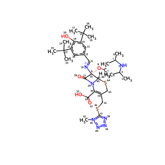 CC(C)NC(C)C.CO[C@@]1(/N=C/c2cc(C(C)(C)C)c(O)c(C(C)(C)C)c2)C(=O)N2C(C(=O)O)=C(CSc3nnnn3C)CS[C@@H]21